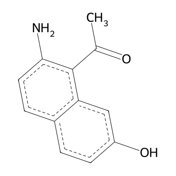 CC(=O)c1c(N)ccc2ccc(O)cc12